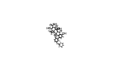 CCc1ccc(CN2CCCCC2)cc1-c1ccc(O)c2c1C[C@H]1C[C@H]3[C@H](N(C)C)C(O)=C(C(N)=O)C(=O)[C@@]3(O)C(O)=C1C2=O